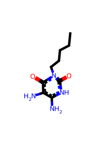 CCCCCn1c(=O)[nH]c(N)c(N)c1=O